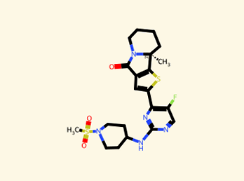 C[C@@]12CCCCN1C(=O)c1cc(-c3nc(NC4CCN(S(C)(=O)=O)CC4)ncc3F)sc12